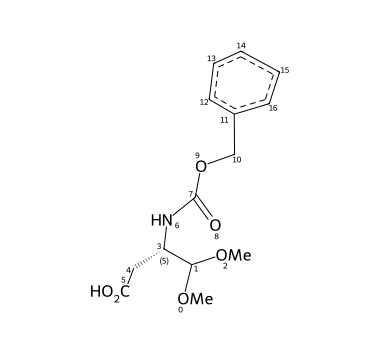 COC(OC)[C@H](CC(=O)O)NC(=O)OCc1ccccc1